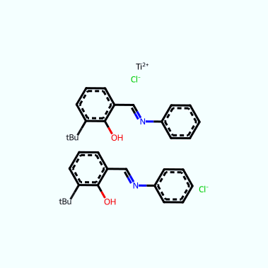 CC(C)(C)c1cccc(C=Nc2ccccc2)c1O.CC(C)(C)c1cccc(C=Nc2ccccc2)c1O.[Cl-].[Cl-].[Ti+2]